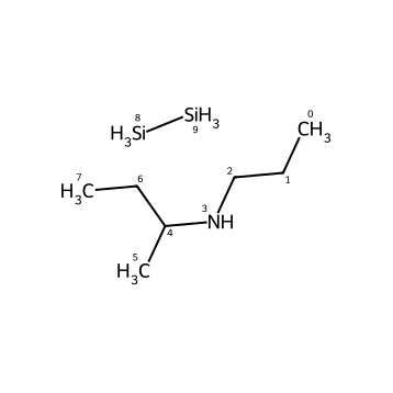 CCCNC(C)CC.[SiH3][SiH3]